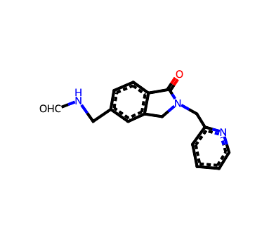 O=CNCc1ccc2c(c1)CN(Cc1ccccn1)C2=O